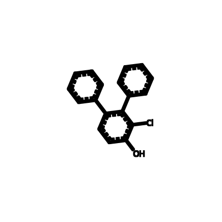 Oc1ccc(-c2ccccc2)c(-c2ccccc2)c1Cl